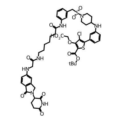 CC(C)(C)OC(=O)c1sc(-c2cccc(NC3CCN(S(=O)(=O)Cc4cccc(NC(=O)CCCCCCNC(=O)CNc5ccc6c(c5)CN(C5CCC(=O)NC5=O)C6=O)c4)CC3)c2)c(Cl)c1OCC(=O)O